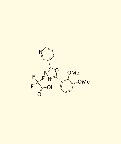 COc1cccc(-c2nnc(-c3cccnc3)o2)c1OC.O=C(O)C(F)(F)F